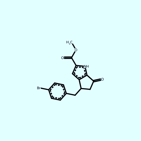 COC(=O)c1cc2c([nH]1)C(=O)CC2Cc1ccc(Br)cc1